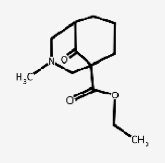 CCOC(=O)C12CCCC(CN(C)C1)C2=O